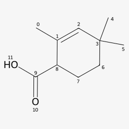 CC1=CC(C)(C)CCC1C(=O)O